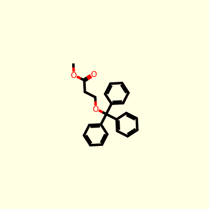 COC(=O)CCOC(c1ccccc1)(c1ccccc1)c1ccccc1